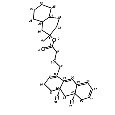 CC1(OC(=O)CSCC2=CCC[C@@H]3C[C@@H]4CC=CC=C4C=C23)CCC2CCCCC2C1